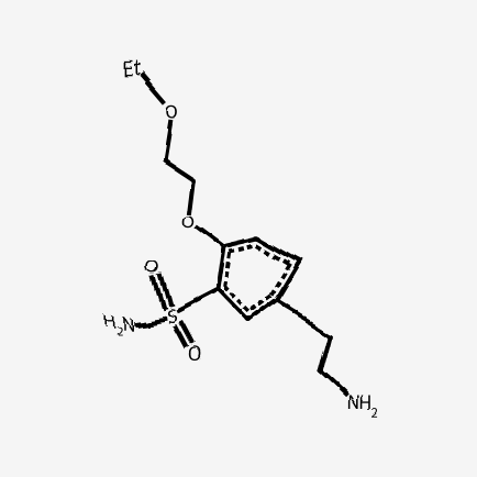 CCOCCOc1ccc(CCN)cc1S(N)(=O)=O